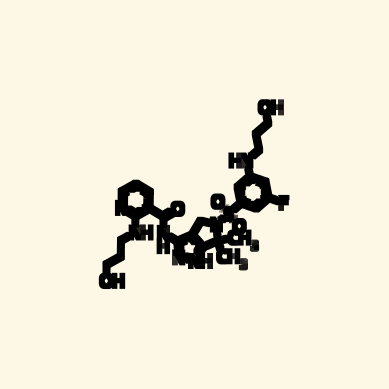 CC1(C)c2[nH]nc(NC(=O)c3cccnc3NCCCO)c2CN1S(=O)(=O)c1cc(F)cc(NCCCO)c1